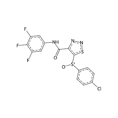 O=C(Nc1cc(F)c(F)c(F)c1)c1nnsc1[S+]([O-])c1ccc(Cl)cc1